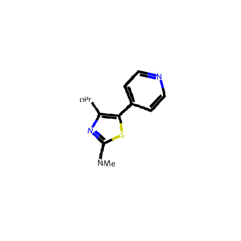 CCCc1nc(NC)sc1-c1ccncc1